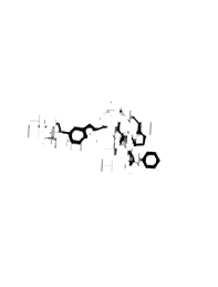 CC(=O)N1CC[C@H]2CC[C@@H](C(=O)N(C)c3ccccc3)N2C(=O)[C@@H](NC(=O)c2cc3cc(C(CO)P(=O)(O)O)ccc3s2)C1